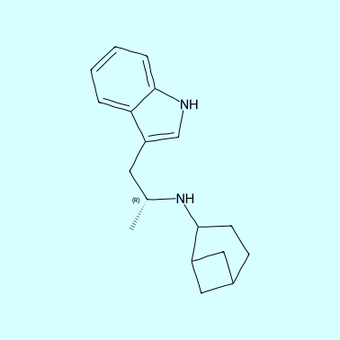 C[C@H](Cc1c[nH]c2ccccc12)NC1CCC2CC1C2